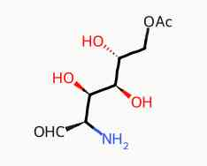 CC(=O)OC[C@@H](O)[C@@H](O)[C@H](O)[C@@H](N)C=O